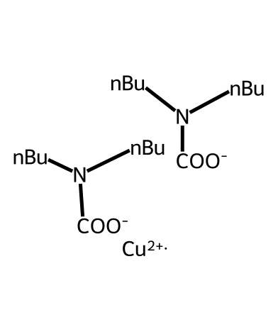 CCCCN(CCCC)C(=O)[O-].CCCCN(CCCC)C(=O)[O-].[Cu+2]